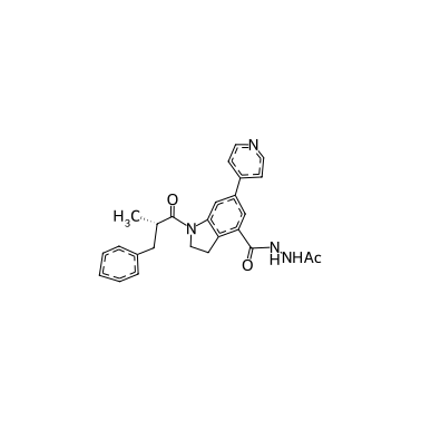 CC(=O)NNC(=O)c1cc(-c2ccncc2)cc2c1CCN2C(=O)[C@@H](C)Cc1ccccc1